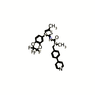 Cc1cn(-c2ccc3c(c2)OC(F)(F)C(F)(F)O3)/c(=N/C(=O)N(C)Cc2ccc(-c3ccncc3)cc2)s1